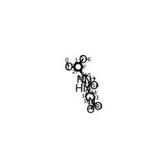 COc1cc(OC)cc(C2=C[N+](C)(C(=O)NC3CCN(C(=O)[O-])CC3)C=N2)c1